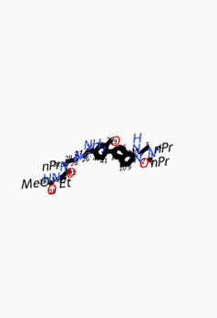 CCCC(=O)N(CCC)Cc1nc2ccc3cc4c(cc3c2[nH]1)OCc1cc(/C(N)=C/N=C/CN(CCC)C(=O)[C@H](CC)NC(=O)OC)ccc1-4